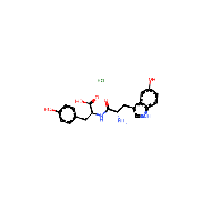 Cl.N[C@@H](Cc1c[nH]c2ccc(O)cc12)C(=O)N[C@@H](Cc1ccc(O)cc1)C(=O)O